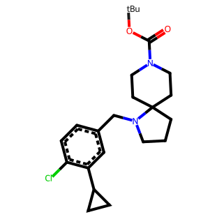 CC(C)(C)OC(=O)N1CCC2(CCCN2Cc2ccc(Cl)c(C3CC3)c2)CC1